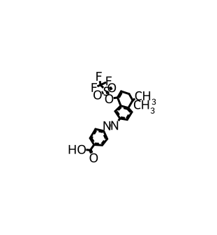 CC1(C)CC=C(OS(=O)(=O)C(F)(F)F)c2cc(N=Nc3ccc(C(=O)O)cc3)ccc21